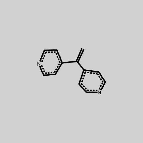 C=C(c1ccncc1)c1ccncc1